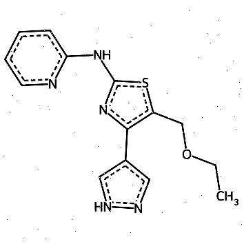 CCOCc1sc(Nc2ccccn2)nc1-c1cn[nH]c1